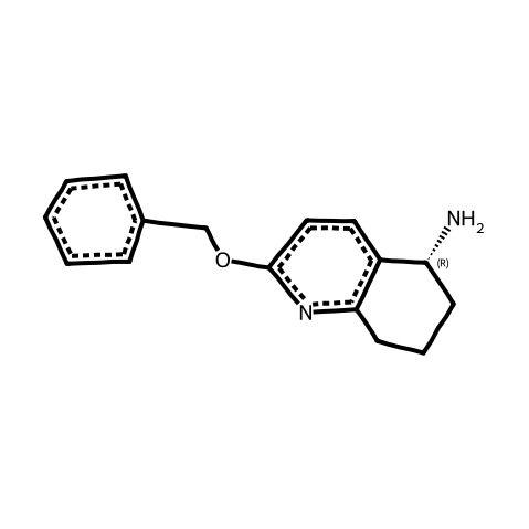 N[C@@H]1CCCc2nc(OCc3ccccc3)ccc21